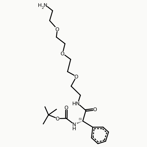 CC(C)(C)OC(=O)N[C@H](C(=O)NCCOCCOCCOCCN)c1ccccc1